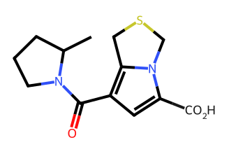 CC1CCCN1C(=O)c1cc(C(=O)O)n2c1CSC2